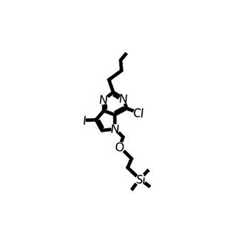 CCCCc1nc(Cl)c2c(n1)c(I)cn2COCC[Si](C)(C)C